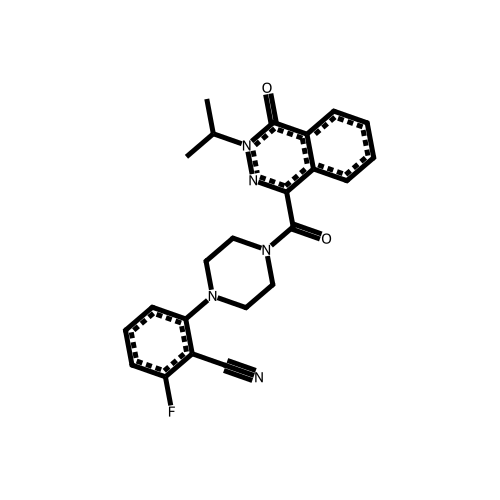 CC(C)n1nc(C(=O)N2CCN(c3cccc(F)c3C#N)CC2)c2ccccc2c1=O